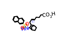 O=C(O)CCC/C=C/CC1C2CCC(C2)C1NS(=O)(=O)c1ccc2ccccc2c1